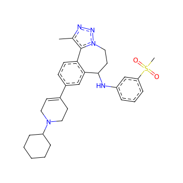 Cc1nnn2c1-c1ccc(C3=CCN(C4CCCCC4)CC3)cc1C(Nc1cccc(S(C)(=O)=O)c1)CC2